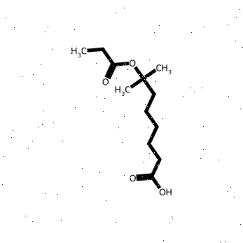 CCC(=O)OC(C)(C)CCCCCC(=O)O